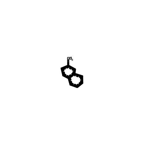 ClC(Cl)(Cl)c1ccc2ccccc2c1